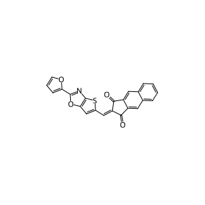 O=C1C(=Cc2cc3oc(-c4ccco4)nc3s2)C(=O)c2cc3ccccc3cc21